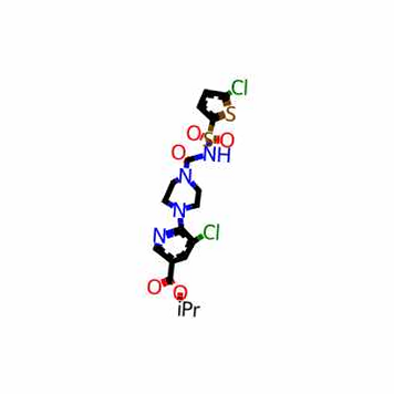 CC(C)OC(=O)c1cnc(N2CCN(C(=O)NS(=O)(=O)c3ccc(Cl)s3)CC2)c(Cl)c1